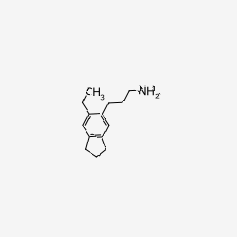 CCc1cc2c(cc1CCCN)CCC2